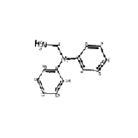 NCN(c1ccccc1)c1ccccc1